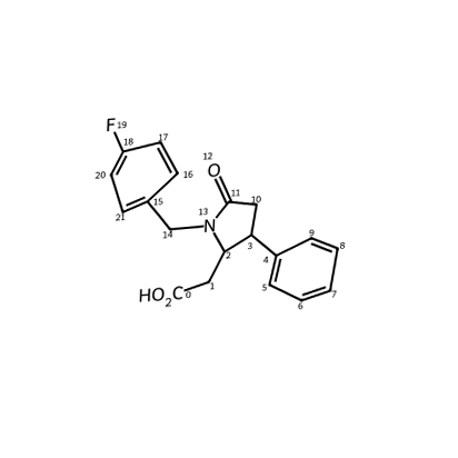 O=C(O)CC1C(c2ccccc2)CC(=O)N1Cc1ccc(F)cc1